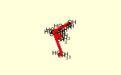 C[C@H](O)[C@@H](C)/C=C/C=C/C=C/C=C/C=C/C=C/C=C/C(C[C@@H]1OC(O)(CC(O)CC(O)C(O)CCC(O)CC(O)CC(=O)O)C[C@H](O)[C@H]1C(=O)O)O[C@@H]1O[C@H](C)[C@@H](O)[C@H](N)[C@@H]1O